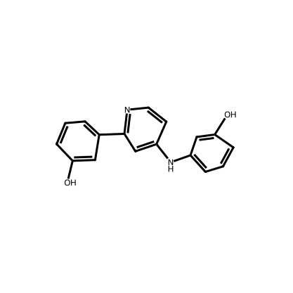 Oc1cccc(Nc2ccnc(-c3cccc(O)c3)c2)c1